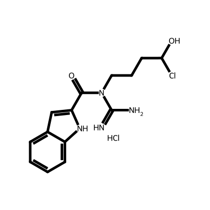 Cl.N=C(N)N(CCCC(O)Cl)C(=O)c1cc2ccccc2[nH]1